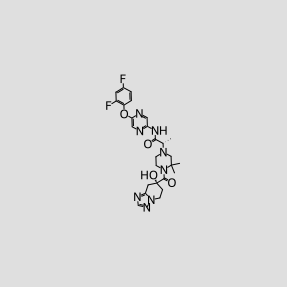 C[C@@H](C(=O)Nc1cnc(Oc2ccc(F)cc2F)cn1)N1CCN(C(=O)[C@]2(O)CCn3ncnc3C2)C(C)(C)C1